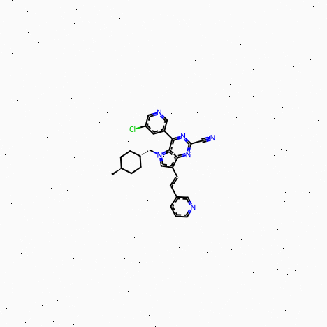 C[C@H]1CC[C@H](Cn2cc(C=Cc3cccnc3)c3nc(C#N)nc(-c4cncc(Cl)c4)c32)CC1